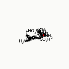 CC1(C)[C@H](NC(=O)/C(=N\O[C@@H](CCCOc2ccc(-c3cn(CCCN)[n+](CC4CNC4)c3)cc2)C(=O)O)c2csc(N)n2)C(=O)N1OS(=O)(=O)O